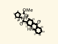 COC(=O)[C@H]1CCC[C@@]1(C)NC(=O)c1cc2[nH]c3ccccc3c(=O)c2cc1F